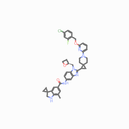 Cc1cc(C(=O)Nc2ccc3c(c2)nc(C2CC24CCN(c2cccc(OCc5ccc(Cl)cc5F)n2)CC4)n3C[C@@H]2CCO2)cc2c1NCC21CC1